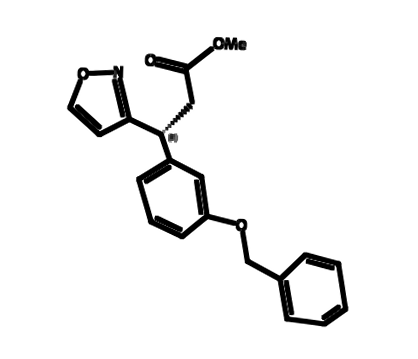 COC(=O)C[C@H](c1cccc(OCc2ccccc2)c1)c1ccon1